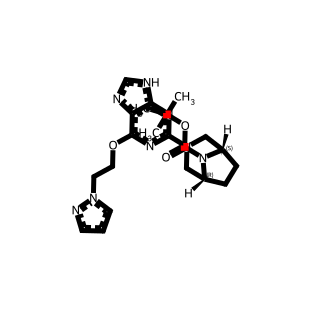 CC(C)(C)OC(=O)N1[C@@H]2CC[C@H]1CN(c1nc(OCCn3cccn3)c3nc[nH]c3n1)C2